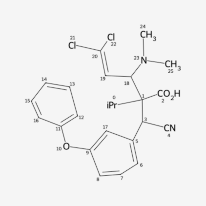 CC(C)C(C(=O)O)(C(C#N)c1cccc(Oc2ccccc2)c1)C(C=C(Cl)Cl)N(C)C